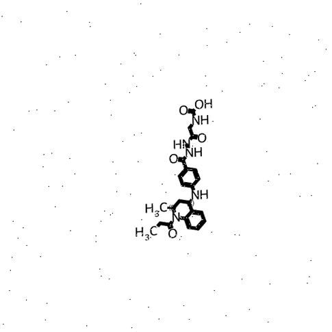 CCC(=O)N1c2ccccc2[C@H](Nc2ccc(C(=O)NNC(=O)CNC(=O)O)cc2)C[C@@H]1C